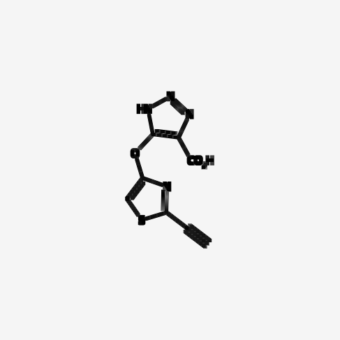 C#Cc1nc(Oc2[nH]nnc2C(=O)O)cs1